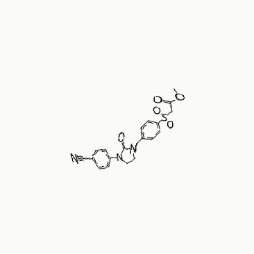 COC(=O)CS(=O)(=O)c1ccc(N2CCN(c3ccc(C#N)cc3)C2=O)cc1